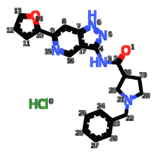 Cl.O=C(Nc1n[nH]c2cc(-c3ccco3)ncc12)C1CCN(Cc2ccccc2)C1